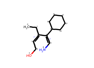 CCC(=C/CO)/C(=C\N)C1CCCCC1